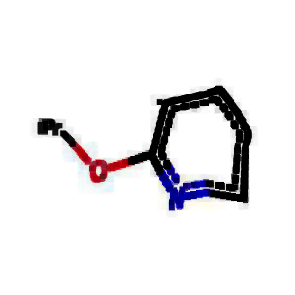 CC(C)Oc1[c]cccn1